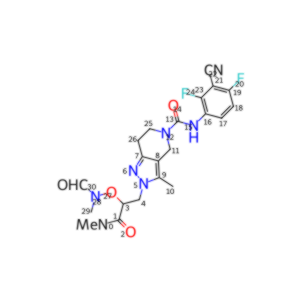 CNC(=O)C(Cn1nc2c(c1C)CN(C(=O)Nc1ccc(F)c(C#N)c1F)CC2)ON(C)C=O